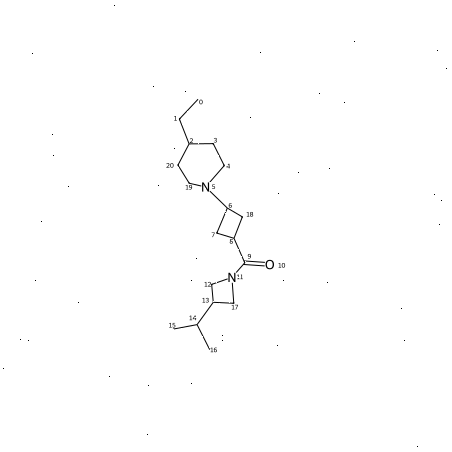 CCC1CCN(C2CC(C(=O)N3CC(C(C)C)C3)C2)CC1